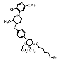 CCOCCCCO[C@H]1CN(c2ccc(OC3CCN(c4cc(OC)ncc4Cl)CC3C)cc2)[C@@H](CC(=O)O)[C@@H]1C